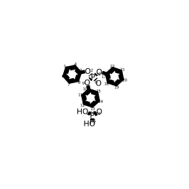 O=P(Oc1ccccc1)(Oc1ccccc1)Oc1ccccc1.O=[PH](O)O